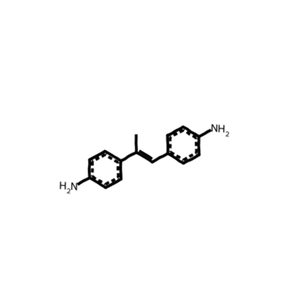 C/C(=C\c1ccc(N)cc1)c1ccc(N)cc1